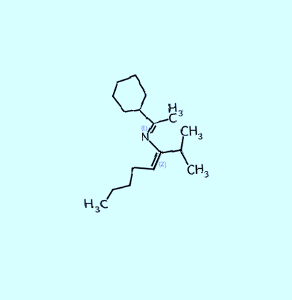 CCCC/C=C(\N=C(/C)C1CCCCC1)C(C)C